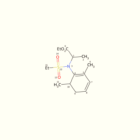 CCOC(=O)C(C)N(C1=C(C)C=CCC1C)S(=O)(=O)CC